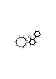 Oc1c(-c2ccccc2)cccc1C1CCCCCCCCC1